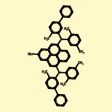 Cc1ccc(C)c(N(c2cc(-c3ccccc3)ccc2C)c2cc3cc(C(C)(C)C)cc4cc(N(c5cc(C)ccc5C)c5cc(-c6ccccc6)ccc5C)c5cccc2c5c34)c1